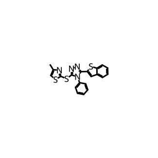 Cc1csc(Sc2nnc(-c3cc4ccccc4s3)n2-c2ccccc2)n1